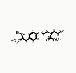 CCOC(Cc1ccc(OCCN(CCC(C)C)C(=O)OC)cc1)C(=O)O